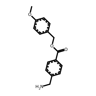 COc1ccc(COC(=O)c2ccc(CN)cc2)cc1